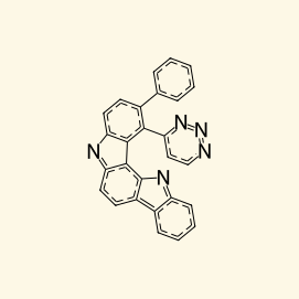 c1ccc(-c2ccc3c(c2-c2ccnnn2)-c2c4c(ccc2=N3)=c2ccccc2=N4)cc1